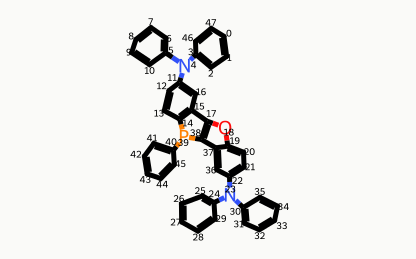 c1ccc(N(c2ccccc2)c2ccc3c(c2)c2oc4ccc(N(c5ccccc5)c5ccccc5)cc4c2p3-c2ccccc2)cc1